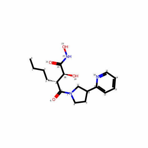 CCCC[C@@H](C(=O)N1CCC(c2ccccn2)C1)[C@H](O)C(=O)NO